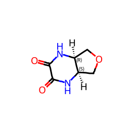 O=C1N[C@H]2COC[C@H]2NC1=O